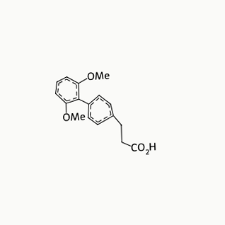 COc1cccc(OC)c1-c1ccc(CCC(=O)O)cc1